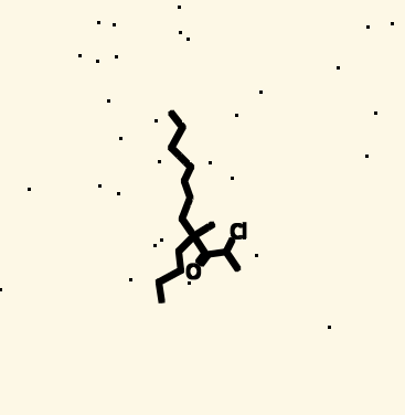 CCCCCCCC(C)(CCCC)C(=O)C(C)Cl